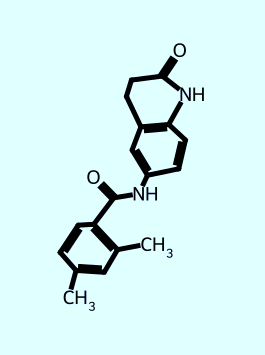 Cc1ccc(C(=O)Nc2ccc3c(c2)CCC(=O)N3)c(C)c1